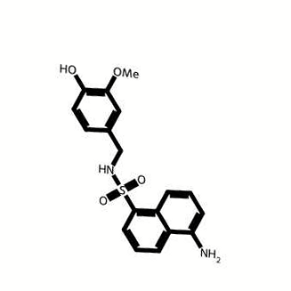 COc1cc(CNS(=O)(=O)c2cccc3c(N)cccc23)ccc1O